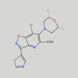 C[C@@H]1CN(c2c(C=O)nc3c(-c4cncs4)noc3c2Cl)C[C@H](C)O1